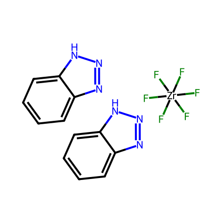 [F][Zr]([F])([F])([F])([F])[F].c1ccc2[nH]nnc2c1.c1ccc2[nH]nnc2c1